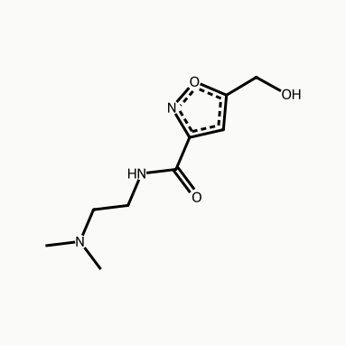 CN(C)CCNC(=O)c1cc(CO)on1